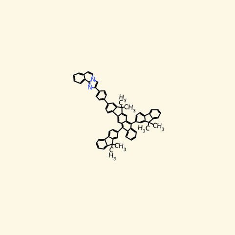 CC1(C)c2ccccc2-c2ccc(-c3c4ccccc4c(-c4ccc5c(c4)C(C)(C)c4ccccc4-5)c4cc5c(cc34)-c3ccc(-c4ccc(-c6cn7ccc8ccccc8c7n6)cc4)cc3C5(C)C)cc21